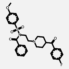 COc1ccc(S(=O)(=O)N(CCN2CCC(C(=O)c3ccc(F)cc3)CC2)C(=O)c2ccccc2)cc1